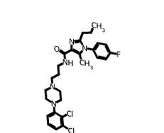 CCCc1nc(C(=O)NCCCN2CCN(c3cccc(Cl)c3Cl)CC2)c(C)n1-c1ccc(F)cc1